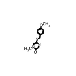 COc1ccc(CSc2cn(C)c(=O)cn2)cc1